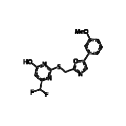 COc1cccc(-c2cnc(CSc3nc(O)cc(C(F)F)n3)o2)c1